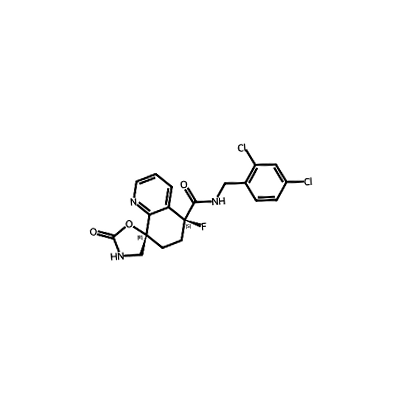 O=C1NC[C@@]2(CC[C@@](F)(C(=O)NCc3ccc(Cl)cc3Cl)c3cccnc32)O1